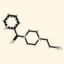 NCCN1CCN(C(=O)c2ccccn2)CC1